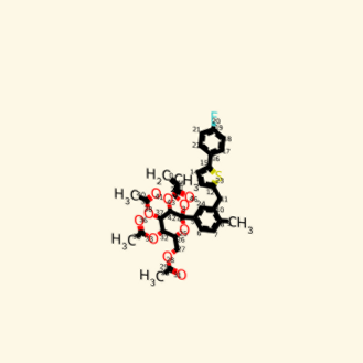 C=CCOC1(c2ccc(C)c(Cc3ccc(-c4ccc(F)cc4)s3)c2)OC(COC(C)=O)C(OC(C)=O)C(OC(C)=O)C1OC(C)=O